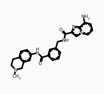 CN1CCc2ccc(NC(=O)c3cccc(CNC(=O)c4cn5cccc(N)c5n4)c3)cc2C1